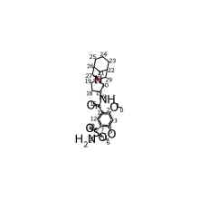 COc1cc(OC)c(S(N)(=O)=O)cc1C(=O)N[C@H]1CCN(C2C3CCCC2CCC3)C1